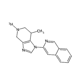 [2H]N1Cc2ncn(-c3cc4ccccc4cn3)c2C(C)C1